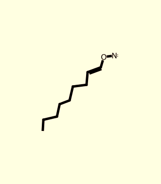 CCCCCCCC=CO[N]